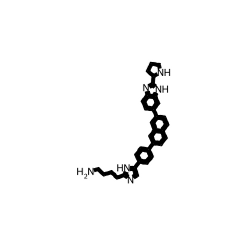 NCCCCc1ncc(-c2ccc(-c3ccc4ccc(-c5ccc6nc(C7CCCN7)[nH]c6c5)cc4c3)cc2)[nH]1